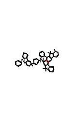 CC1CC=CC2=C1C(C)(C)c1c2cccc1-c1ccccc1N(c1ccc(C2(C)C=c3c(n(-c4ccccc4)c4ccccc34)=CC2)cc1)c1ccc2c(c1)C(C)(C)c1ccccc1-2